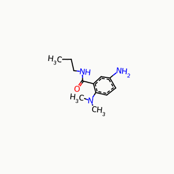 CCCNC(=O)c1cc(N)ccc1N(C)C